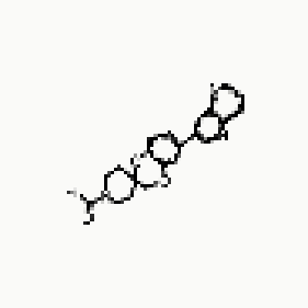 CCC(=O)N1CCC2(CC1)COc1cc(-c3cnc4cccnc4c3)ccc1O2